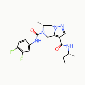 CC[C@@H](C)NC(=O)c1cnn2c1CN(C(=O)Nc1ccc(F)c(F)c1)[C@H](C)C2